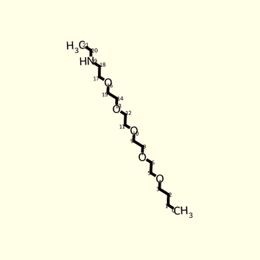 CCCCOCCOCCOCCOCCOCCNCC